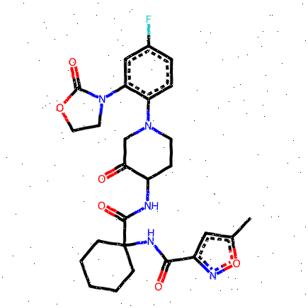 Cc1cc(C(=O)NC2(C(=O)NC3CCN(c4ccc(F)cc4N4CCOC4=O)CC3=O)CCCCC2)no1